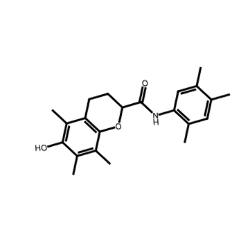 Cc1cc(C)c(NC(=O)C2CCc3c(C)c(O)c(C)c(C)c3O2)cc1C